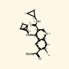 CNC(=O)c1cc2c(NC3C4CC3C4C)c(C(=O)NC3CC3)cnc2cc1F